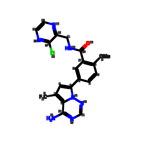 COc1ccc(-c2cc(C(F)(F)F)c3c(N)ncnn23)cc1C(=O)NCc1nccnc1Cl